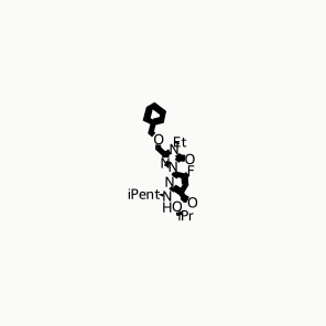 CCC[C@H](C)Nc1nc(-n2nc(COCc3ccccc3)n(CC)c2=O)c(F)cc1C(=O)OC(C)C